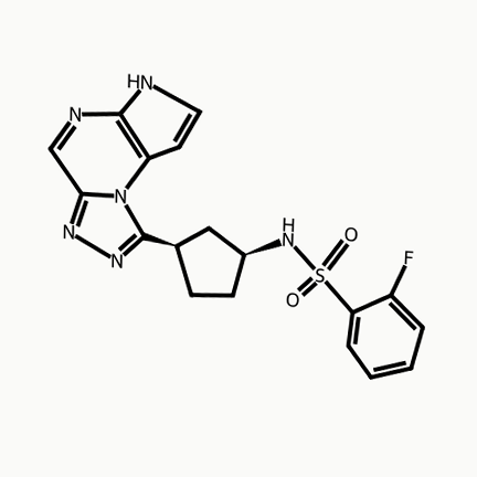 O=S(=O)(N[C@H]1CC[C@@H](c2nnc3cnc4[nH]ccc4n23)C1)c1ccccc1F